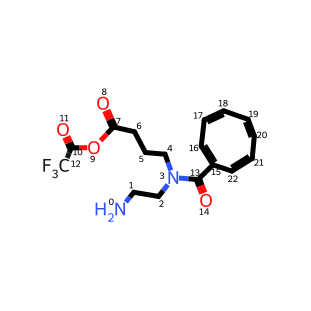 NCCN(CCCC(=O)OC(=O)C(F)(F)F)C(=O)C1=CC=CC=CC=C1